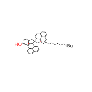 CC(C)(C)CCCCCCCCCCC(Cc1ccc(O)cc1)(C1C=Cc2cccc3cccc1c23)C1C=Cc2cccc3cccc1c23